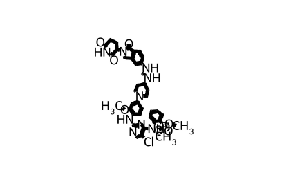 COc1cc(N2CCC(NCNc3ccc4c(c3)CN(C3CCC(=O)NC3=O)C4=O)CC2)ccc1Nc1ncc(Cl)c(Nc2ccccc2P(=O)(OC)OC)n1